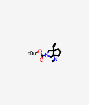 C=CC12CCC[C@]1(N=C)CN(C(=O)OC(C)(C)C)C2